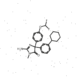 CN1C(=O)C(c2ccc(OC(F)F)cc2)(c2cccc(C3CCCCC3)c2)N=C1N